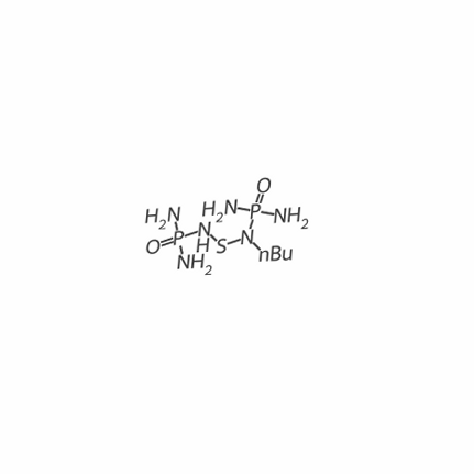 CCCCN(SNP(N)(N)=O)P(N)(N)=O